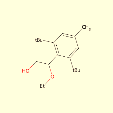 CCOC(CO)c1c(C(C)(C)C)cc(C)cc1C(C)(C)C